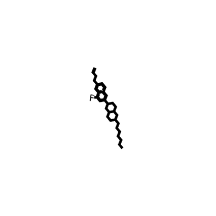 C=CCCc1ccc2cc(C3CCC4CC(CCCCCCC)CCC4C3)cc(F)c2c1